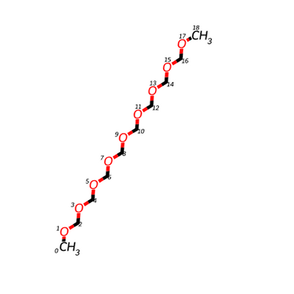 COCOCOCOCOCOCOCOCOC